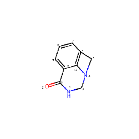 O=C1NCN2Cc3cccc1c32